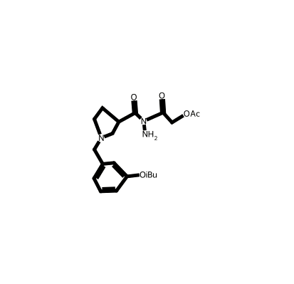 CC(=O)OCC(=O)N(N)C(=O)C1CCN(Cc2cccc(OCC(C)C)c2)C1